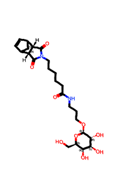 O=C(CCCCCN1C(=O)[C@@H]2C3C=CC(C3)[C@@H]2C1=O)NCCCO[C@@H]1O[C@H](CO)[C@H](O)[C@H](O)[C@H]1O